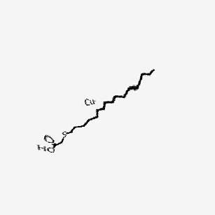 CCCCCCCCCCCCCCCCSCC(=O)O.[Cu]